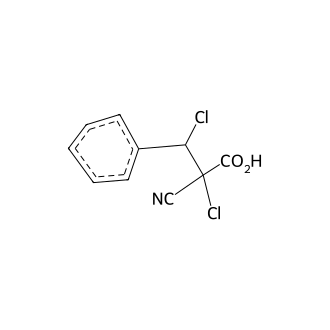 N#CC(Cl)(C(=O)O)C(Cl)c1ccccc1